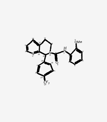 COc1ccccc1NC(=O)N1CCc2cccnc2C1c1ccc(C(F)(F)F)cc1